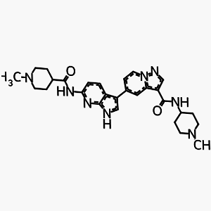 CN1CCC(NC(=O)c2cnn3ccc(-c4c[nH]c5nc(NC(=O)C6CCN(C)CC6)ccc45)cc23)CC1